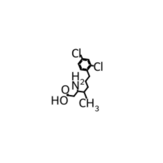 CCC(CCCc1ccc(Cl)cc1Cl)C(N)CC(=O)O